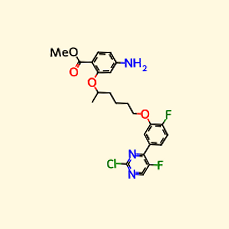 COC(=O)c1ccc(N)cc1OC(C)CCCCOc1cc(-c2nc(Cl)ncc2F)ccc1F